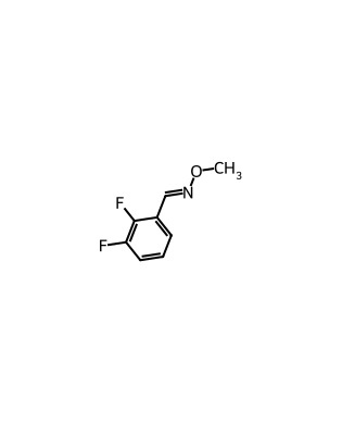 CO/N=C/c1cccc(F)c1F